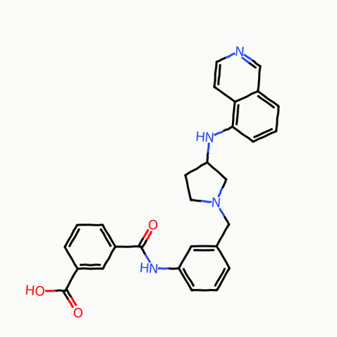 O=C(O)c1cccc(C(=O)Nc2cccc(CN3CCC(Nc4cccc5cnccc45)C3)c2)c1